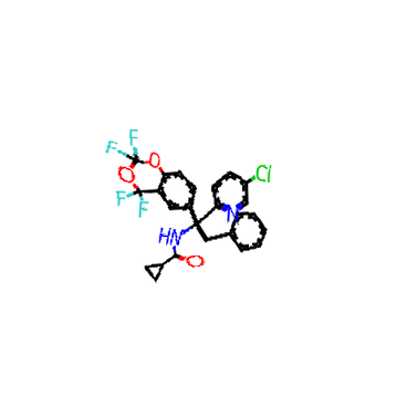 O=C(NC(Cc1ccccc1)(c1ccc2c(c1)C(F)(F)OC(F)(F)O2)c1ccc(Cl)cn1)C1CC1